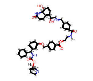 CCN(CCOC(=O)c1ccc(COc2cccc(C(NC(=O)O[C@H]3CN4CCC3CC4)c3ccccc3)c2)cc1)C(=O)c1ccc(CNCC(O)c2ccc(O)c3[nH]c(=O)ccc23)cc1